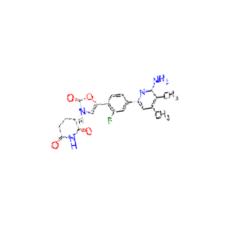 Cc1cc(-c2ccc(-c3cn([C@H]4CCC(=O)NC4=O)c(=O)o3)c(F)c2)nc(N)c1C